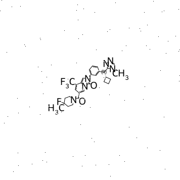 Cn1cnnc1[C@@H](c1cccc(-n2cc3c(C(F)(F)F)cc(C(=O)N4CCC(C)(F)CC4)cn3c2=O)c1)C1CCC1